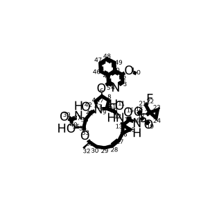 COc1cnc(O[C@@H]2C[C@H]3C(=O)NC4(C(=O)NS(=O)(=O)C5(CF)CC5)CC4/C=C\CC[C@@H](C)O[C@@H](C)[C@H](NC(=O)O)C(=O)N3C2)c2ccccc12